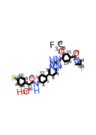 O=C(Nc1ccc(-c2ccc3nc(Nc4ccc(C(=O)N5C=C(F)C5)cc4OCC(F)(F)F)nn3c2)cc1)[C@H](CO)c1ccc(F)cc1